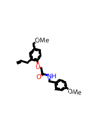 C=CCc1cc(COC)ccc1OCC(=O)NCc1ccc(OC)cc1